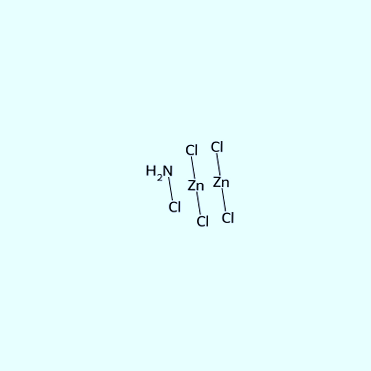 NCl.[Cl][Zn][Cl].[Cl][Zn][Cl]